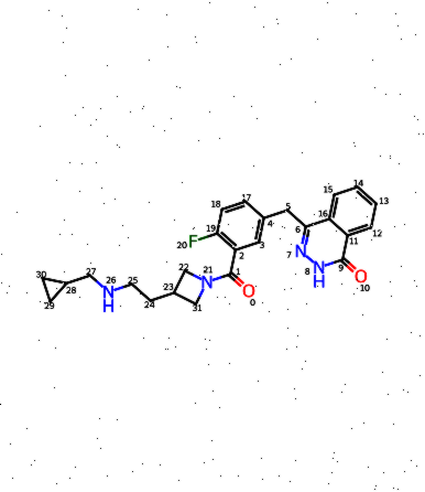 O=C(c1cc(Cc2n[nH]c(=O)c3ccccc23)ccc1F)N1CC(CCNCC2CC2)C1